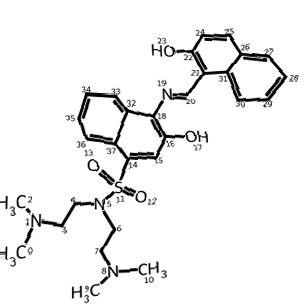 CN(C)CCN(CCN(C)C)S(=O)(=O)c1cc(O)c(N=Cc2c(O)ccc3ccccc23)c2ccccc12